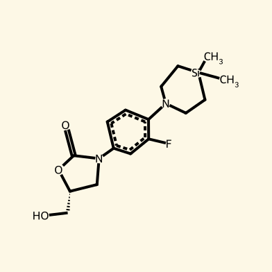 C[Si]1(C)CCN(c2ccc(N3C[C@H](CO)OC3=O)cc2F)CC1